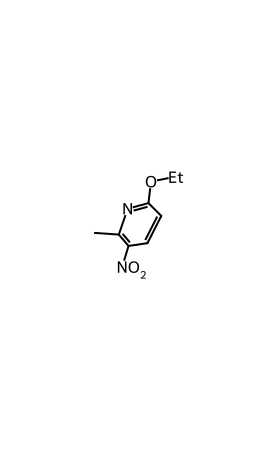 CCOc1ccc([N+](=O)[O-])c(C)n1